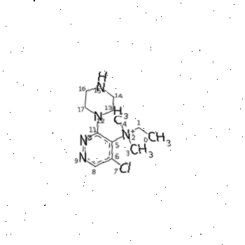 CC[N+](C)(C)c1c(Cl)cnnc1N1CCNCC1